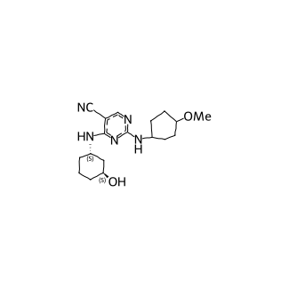 COC1CCC(Nc2ncc(C#N)c(N[C@H]3CCC[C@H](O)C3)n2)CC1